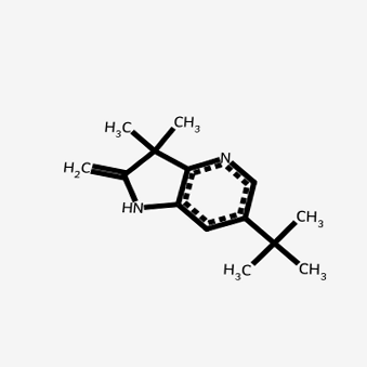 C=C1Nc2cc(C(C)(C)C)cnc2C1(C)C